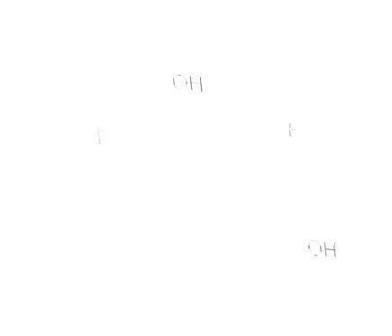 Cc1cc(F)c(O)c(F)c1O